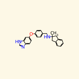 CC1(NCc2ccc(Oc3ccc4nc[nH]c4c3)cc2)Cc2ccccc2C1